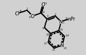 CCCN1C=C(C(=O)OCCl)Cc2ccncc21